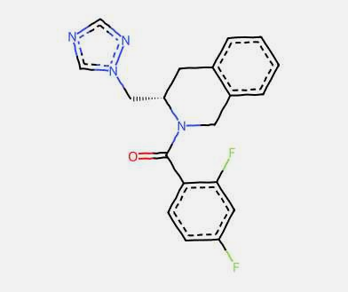 O=C(c1ccc(F)cc1F)N1Cc2ccccc2C[C@H]1Cn1cncn1